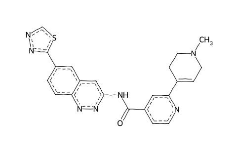 CN1CC=C(c2cc(C(=O)Nc3cc4cc(-c5nncs5)ccc4nn3)ccn2)CC1